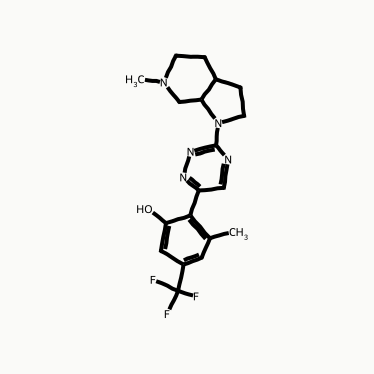 Cc1cc(C(F)(F)F)cc(O)c1-c1cnc(N2CCC3CCN(C)CC32)nn1